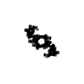 CC1[C@H]2OP(=O)(O)OC[C@H]3O[C@@H](n4cnc5c(=O)[nH]c(N)nc54)C(O)[C@H]3OP(=O)(O)OC[C@H]2O[C@H]1n1cnc2c(=O)[nH]c(N)nc21